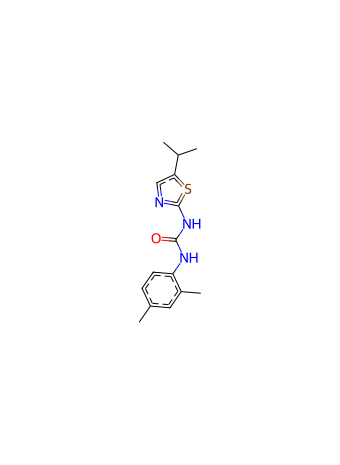 Cc1ccc(NC(=O)Nc2ncc(C(C)C)s2)c(C)c1